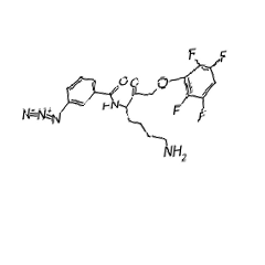 [N-]=[N+]=Nc1cccc(C(=O)NC(CCCCN)C(=O)COc2c(F)c(F)cc(F)c2F)c1